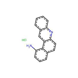 Cl.Nc1cccc2ccc3nc4ccccc4cc3c12